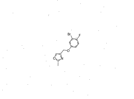 Cc1nc(COc2ccc(F)c(Br)c2)co1